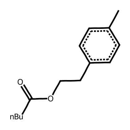 CCCCC(=O)OCCc1ccc(C)cc1